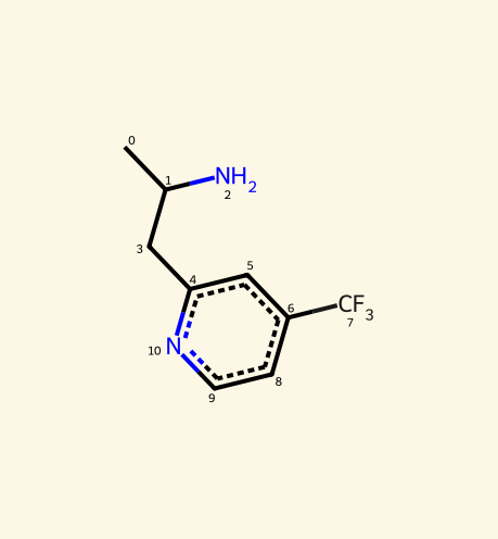 CC(N)Cc1cc(C(F)(F)F)ccn1